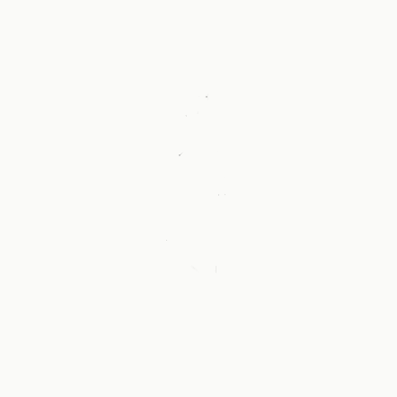 COc1ccc(F)c(-c2ccc(COc3cccc([C@@H](CC(=O)O)[C@H]4C[C@@H]4C)c3)cc2C(C)(C)C)c1